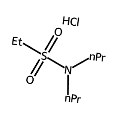 CCCN(CCC)S(=O)(=O)CC.Cl